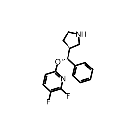 Fc1ccc(O[C@@H](c2ccccc2)[C@H]2CCNC2)nc1F